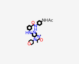 CC(=O)Nc1ccc(NC(=O)c2cccc(Nc3cc4c(cn3)N(C)C(=O)C(C)N4C3CCOCC3)c2)cc1